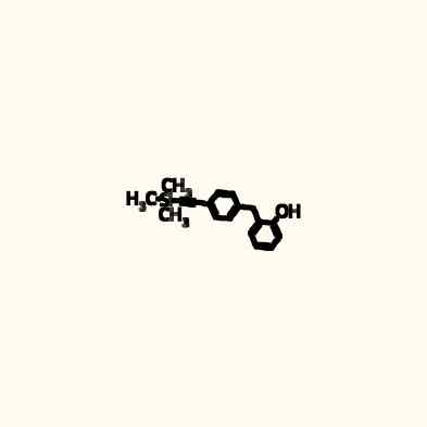 C[Si](C)(C)C#Cc1ccc(Cc2ccccc2O)cc1